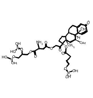 C[C@]12C=CC(=O)C=C1CCC1C3CC[C@](OC(=O)CCCON(O)O)(C(=O)COC(=O)CC(N)C(=O)OCC(CON(O)O)ON(O)O)[C@@]3(C)C[C@H](O)[C@@H]12